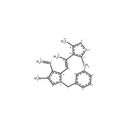 C=Nc1c(N)cn(Cc2ccccc2)c1/C=C(\C)c1c(C)noc1C